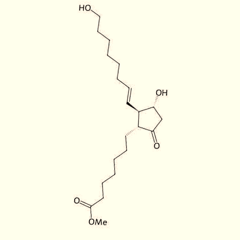 COC(=O)CCCCCC[C@H]1C(=O)C[C@@H](O)[C@@H]1C=CCCCCCCO